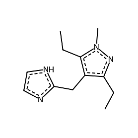 CCc1nn(C)c(CC)c1Cc1ncc[nH]1